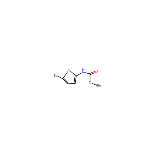 CCc1ccc(NC(=O)OC(C)(C)C)s1